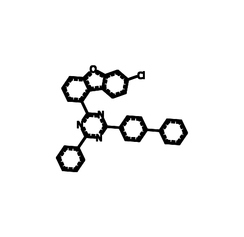 Clc1ccc2c(c1)oc1cccc(-c3nc(-c4ccccc4)nc(-c4ccc(-c5ccccc5)cc4)n3)c12